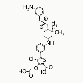 CC1(C)C[C@@H](Nc2cccc(-c3sc(C(=O)O)c(OCC(=O)O)c3Cl)c2)CCC1CS(=O)(=O)Cc1cccc(N)c1